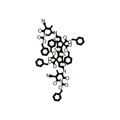 CC1=C(C#N)C(=O)N(C(=O)OCc2ccccc2)C/C1=N\c1cc2c(s1)-c1sc3c4c(sc3c1C2(C(=O)OCc1ccccc1)C(=O)OCc1ccccc1)-c1sc(/N=C2/C(=O)N(C(=O)OCc3ccccc3)C(=O)C(C#N)=C2C)cc1C4(C(=O)OCc1ccccc1)C(=O)OCc1ccccc1